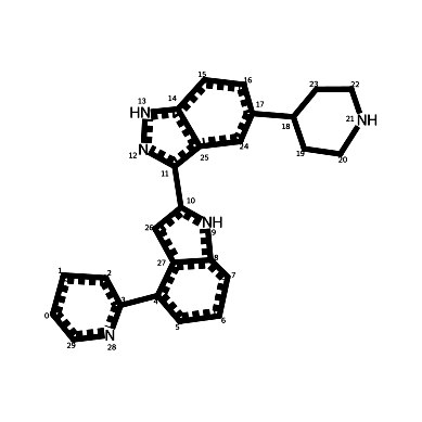 c1ccc(-c2cccc3[nH]c(-c4n[nH]c5ccc(C6CCNCC6)cc45)cc23)nc1